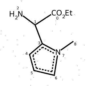 CCOC(=O)C(N)c1cccn1C